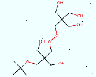 CC(C)(C)OCC(CO)(CO)COOCC(CO)(CO)CO